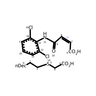 CCCCCCCCCCCCSCC(=O)O.O=C(O)/C=C\C(=O)Nc1c(Cl)cccc1Cl